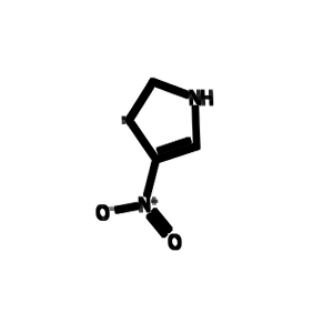 O=[N+]([O-])C1=CNC[C]1